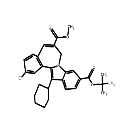 COC(=O)C1=Cc2ccc(Cl)cc2-c2c(C3CCCCC3)c3ccc(C(=O)OC(C)(C)C)cc3n2C1